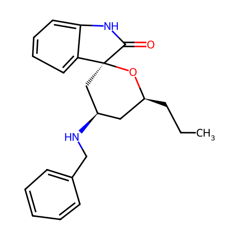 CCC[C@H]1C[C@@H](NCc2ccccc2)C[C@@]2(O1)C(=O)Nc1ccccc12